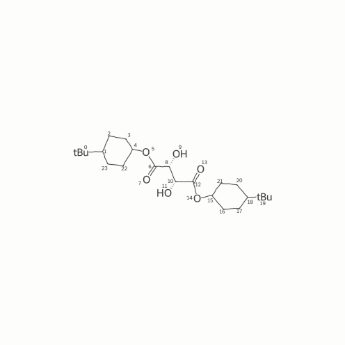 CC(C)(C)C1CCC(OC(=O)[C@H](O)[C@@H](O)C(=O)OC2CCC(C(C)(C)C)CC2)CC1